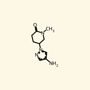 CN1CC(n2cc(N)cn2)CCC1=O